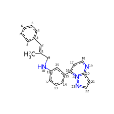 C/C(=C\c1ccccc1)CNc1cccc(-c2ccnc3[c]cnn23)c1